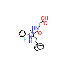 O=C(O)CCNC(=O)c1nc(-c2ccccc2F)[nH]c1CCC12CC3CC(CC(C3)C1)C2